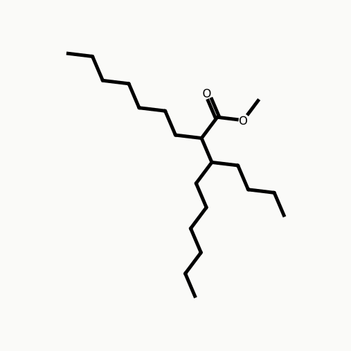 CCCCCCCC(C(=O)OC)C(CCCC)CCCCCC